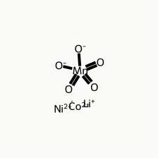 [Co+2].[Li+].[Ni+2].[O]=[Mn](=[O])(=[O])([O-])[O-]